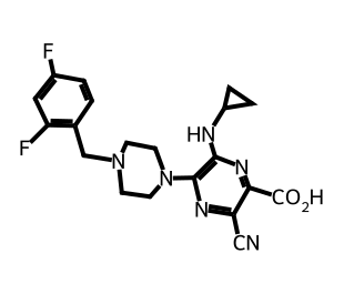 N#Cc1nc(N2CCN(Cc3ccc(F)cc3F)CC2)c(NC2CC2)nc1C(=O)O